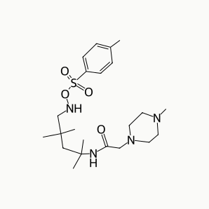 Cc1ccc(S(=O)(=O)ONCC(C)(C)CC(C)(C)NC(=O)CN2CCN(C)CC2)cc1